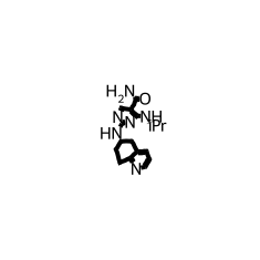 CC(C)Nc1nc(N[C@H]2CCc3ncccc3C2)ncc1C(N)=O